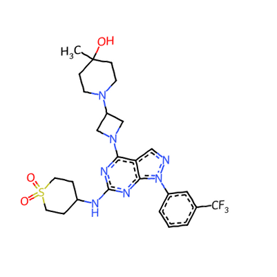 CC1(O)CCN(C2CN(c3nc(NC4CCS(=O)(=O)CC4)nc4c3cnn4-c3cccc(C(F)(F)F)c3)C2)CC1